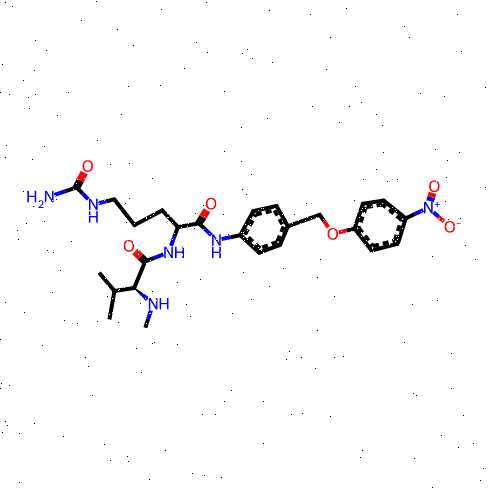 CN[C@H](C(=O)NC(CCCNC(N)=O)C(=O)Nc1ccc(COc2ccc([N+](=O)[O-])cc2)cc1)C(C)C